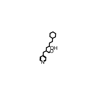 O=CC(Cc1ccncc1)CC(O)CCC1CCCCC1